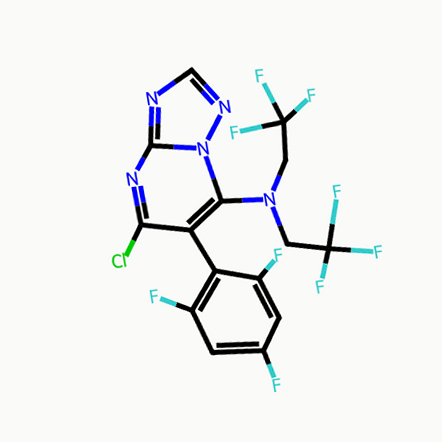 Fc1cc(F)c(-c2c(Cl)nc3ncnn3c2N(CC(F)(F)F)CC(F)(F)F)c(F)c1